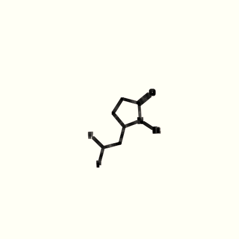 CCN1C(=O)CCC1CC(F)F